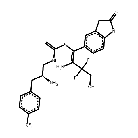 C=C(NC[C@@H](N)Cc1ccc(C(F)(F)F)cc1)S/C(=C(\N)C(F)(F)CO)c1ccc2c(c1)CC(=O)N2